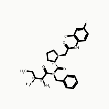 CC[C@H](C)[C@H](N)C(=O)N(Cc1ccccc1)C(=O)[C@@H]1CCCN1CC(=O)Nc1ccc(Cl)cc1Cl